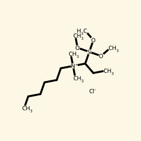 CCCCCC[N+](C)(C)C(CC)[Si](OC)(OC)OC.[Cl-]